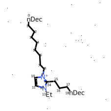 CCCCCCCCCCCCCCCCCC[n+]1ccn(CC)c1CCCCCCCCCCCCC